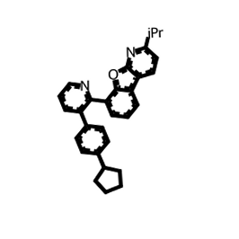 CC(C)c1ccc2c(n1)oc1c(-c3ncccc3-c3ccc(C4CCCC4)cc3)cccc12